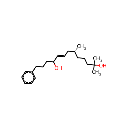 C[C@@H](C/C=C/C(O)CCCc1ccccc1)CCCC(C)(C)O